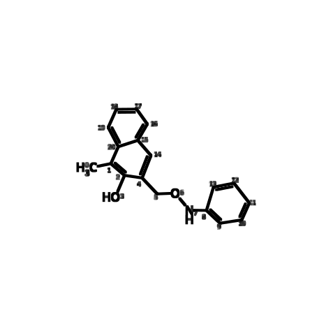 Cc1c(O)c(CONc2ccccc2)cc2ccccc12